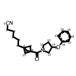 N#CCCCCCC12CC(C(=O)N3CCC(Oc4ccccc4)C3)(C1)C2